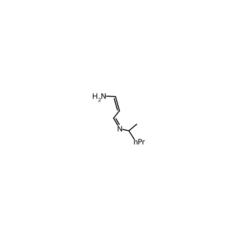 CCCC(C)/N=C\C=C/N